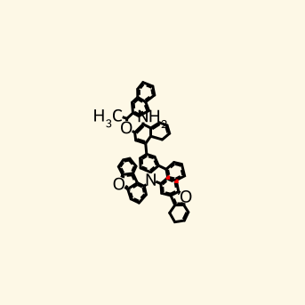 CC(OC1=C(N)C2=CC=CCC2C(c2ccc(N(c3ccc4oc5c(c4c3)CCC=C5)c3cccc4oc5ccccc5c34)c(-c3ccccc3)c2)=C1)c1ccc2ccccc2c1